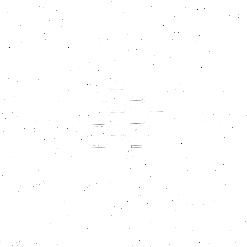 CCCCC(=O)N(c1ccccc1)C1CC(C)N(C(C)=O)c2ccccc21